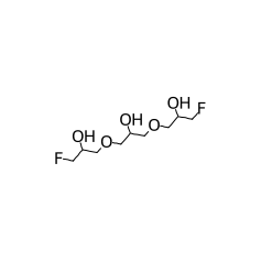 OC(CF)COCC(O)COCC(O)CF